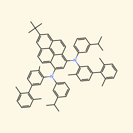 Cc1ccc(-c2c(C)cccc2C)cc1N(c1cccc(C(C)C)c1)c1cc(N(c2cccc(C(C)C)c2)c2cc(-c3c(C)cccc3C)ccc2C)c2ccc3cc(C(C)(C)C)cc4ccc1c2c43